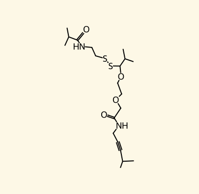 CC(C)C#CCNC(=O)COCCOC(SSCCNC(=O)C(C)C)C(C)C